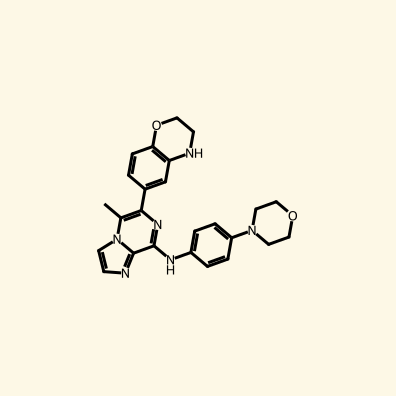 Cc1c(-c2ccc3c(c2)NCCO3)nc(Nc2ccc(N3CCOCC3)cc2)c2nccn12